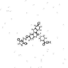 Cc1cc(CN(C[C@H]2CC[C@H](C(=O)O)CC2)[C@H]2CCc3cc(Cl)ccc32)ccc1OCCN1C(=O)CCC1=O